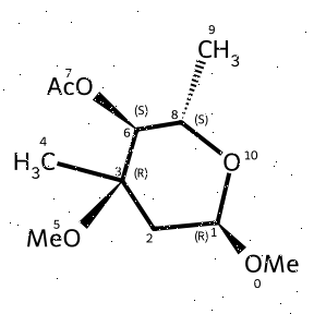 CO[C@H]1C[C@@](C)(OC)[C@@H](OC(C)=O)[C@H](C)O1